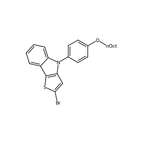 CCCCCCCCOc1ccc(-n2c3ccccc3c3sc(Br)cc32)cc1